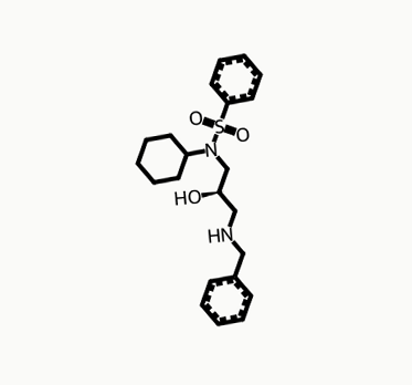 O=S(=O)(c1ccccc1)N(C[C@H](O)CNCc1ccccc1)C1CCCCC1